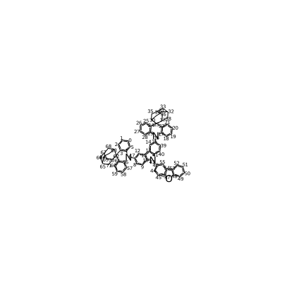 c1ccc2c(c1)N(c1ccc3c(c1)c1cc(N4c5ccccc5C5(c6ccccc64)C4CC6CC(C4)CC5C6)ccc1n3-c1ccc3oc4ccccc4c3c1)c1ccccc1C21C2CC3CC(C2)CC1C3